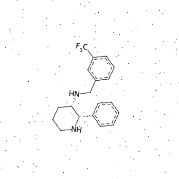 FC(F)(F)c1cccc(CN[C@H]2CCCN[C@H]2c2ccccc2)c1